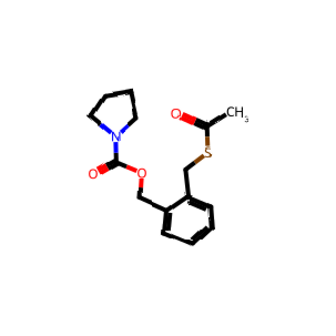 CC(=O)SCc1ccccc1COC(=O)N1CCCC1